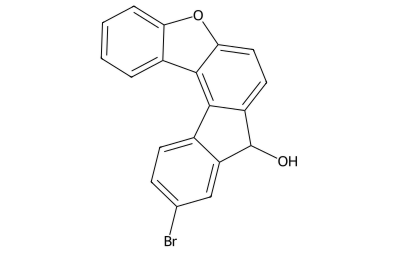 OC1c2cc(Br)ccc2-c2c1ccc1oc3ccccc3c21